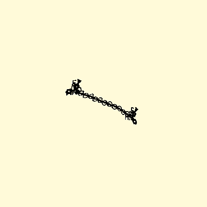 O=C(COCCOCCOCCOCCOCCOCCOCCOCCOCCOCCOCC(=O)N[C@@H](c1ccccc1)c1ccc(C2CC2)c(F)n1)N[C@@H](c1ccccc1)c1ccc(C2CC2)c(F)n1